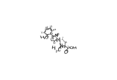 CN1[C@H](C(=O)O)CC[C@H]1[C@H]1COC(c2ccccc2O)=N1